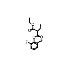 CCOC(=O)C(CC)C(=O)Oc1c(F)cccc1F